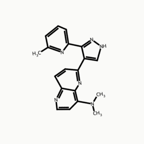 Cc1cccc(-c2n[nH]cc2-c2ccc3nccc(N(C)C)c3n2)n1